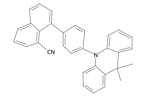 CC1(C)c2ccccc2N(c2ccc(-c3cccc4cccc(C#N)c34)cc2)c2ccccc21